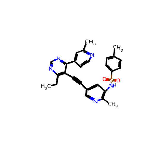 CCc1ncnc(-c2ccnc(C)c2)c1C#Cc1cnc(C)c(NS(=O)(=O)c2ccc(C)cc2)c1